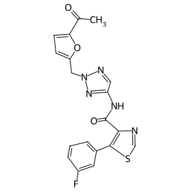 CC(=O)c1ccc(Cn2ncc(NC(=O)c3ncsc3-c3cccc(F)c3)n2)o1